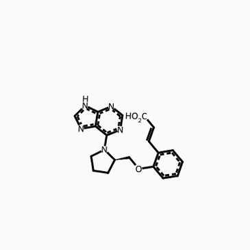 O=C(O)C=Cc1ccccc1OC[C@H]1CCCN1c1ncnc2[nH]cnc12